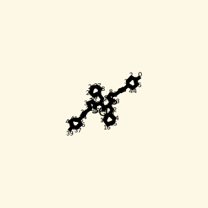 Cc1ccc(C#Cc2ccc(C(Cc3ccccc3)C(=O)C(Cc3ccccc3)c3ccc(C#Cc4ccc(C)cc4)s3)s2)cc1